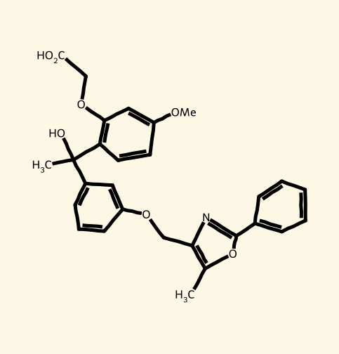 COc1ccc(C(C)(O)c2cccc(OCc3nc(-c4ccccc4)oc3C)c2)c(OCC(=O)O)c1